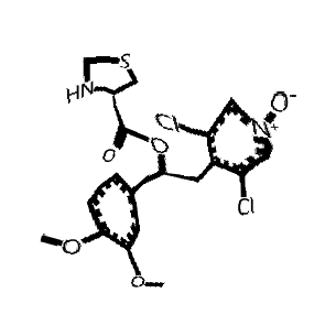 COc1ccc([C@H](Cc2c(Cl)c[n+]([O-])cc2Cl)OC(=O)[C@@H]2CSCN2)cc1OC